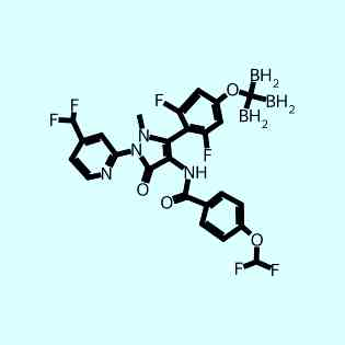 BC(B)(B)Oc1cc(F)c(-c2c(NC(=O)c3ccc(OC(F)F)cc3)c(=O)n(-c3cc(C(F)F)ccn3)n2C)c(F)c1